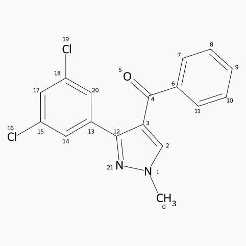 Cn1cc(C(=O)c2ccccc2)c(-c2cc(Cl)cc(Cl)c2)n1